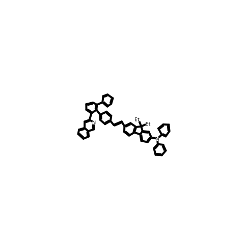 CCC1(CC)c2cc(/C=C/c3ccc(-c4c(-c5ccccc5)cccc4-c4cc5ccccc5cn4)cc3)ccc2-c2ccc(N(c3ccccc3)c3ccccc3)cc21